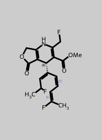 COC(=O)C1=C(CF)NC2=C(C(=O)OC2)[C@H]1C(=CC(C)F)/C=C\C=C(/C)F